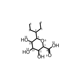 CCC(CC)C1OC(C(=O)O)C(O)C(O)C1O